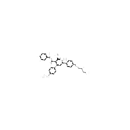 CCCCc1ccc(-c2cc(-c3ccc(OCCCC(F)(F)F)cc3)[nH]c(=O)c2C(=O)Nc2ccccc2)cc1